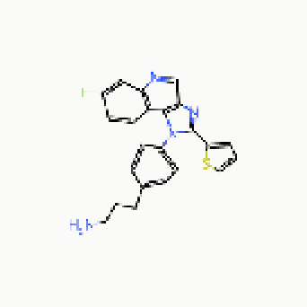 NCCCc1ccc(-n2c(-c3cccs3)nc3cnc4cc(F)ccc4c32)cc1